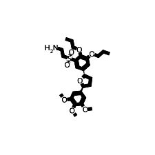 CCCOc1cc([C@@H]2CC[C@@H](c3cc(OC)c(OC)c(OC)c3)O2)cc(S(=O)(=O)CCN)c1OCCC